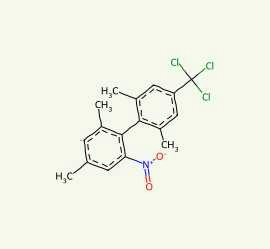 Cc1[c]c(C)c(-c2c(C)cc(C(Cl)(Cl)Cl)cc2C)c([N+](=O)[O-])c1